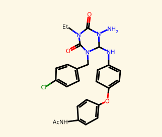 CCN1C(=O)N(N)C(Nc2ccc(Oc3ccc(NC(C)=O)cc3)cc2)N(Cc2ccc(Cl)cc2)C1=O